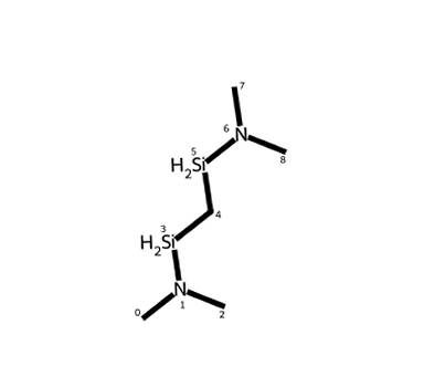 CN(C)[SiH2]C[SiH2]N(C)C